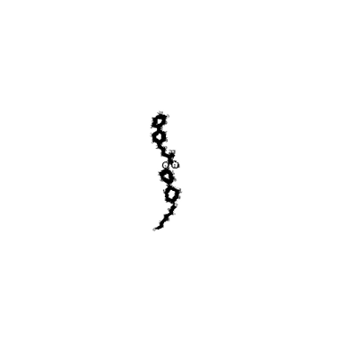 CCCCCCCC[C@H]1CC[C@H](c2ccc(OC(=O)C(C)CCCc3ccc(-c4ccccc4)cc3)cc2)CC1